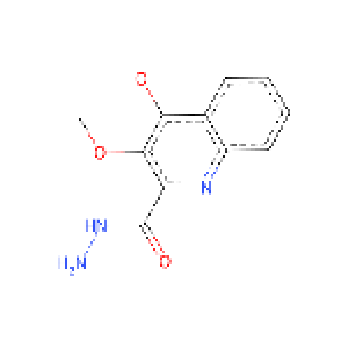 COc1c(C(=O)NN)nc2ccccc2c1OC